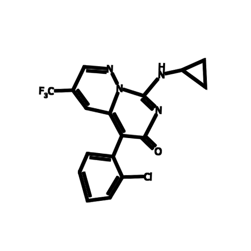 O=c1nc(NC2CC2)n2ncc(C(F)(F)F)cc2c1-c1ccccc1Cl